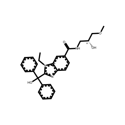 CCn1c(C(O)(c2ccccc2)c2ccccc2)nc2ccc(C(=O)NC[C@@H](O)COC)cc21